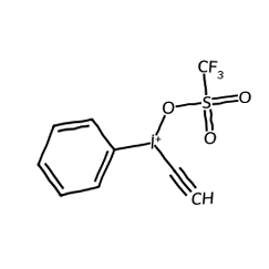 C#C[I+](OS(=O)(=O)C(F)(F)F)c1ccccc1